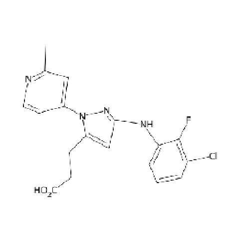 Cc1cc(-n2nc(Nc3cccc(Cl)c3F)cc2CCC(=O)O)ccn1